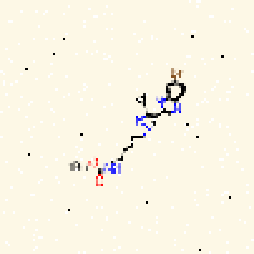 CC(C)(C)OC(=O)NCCCCCCn1cc(-c2cnc3ccc(Br)cc3n2)c(C2CC2)n1